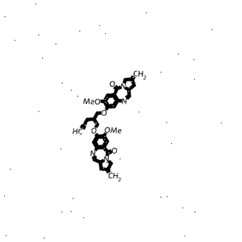 C#CCC(COc1cc2c(cc1OC)C(=O)N1CC(=C)CC1C=N2)COc1cc2c(cc1OC)C(=O)N1CC(=C)CC1C=N2